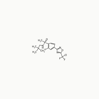 CC(C)(C)CNP(C)(=O)c1ccc(-c2noc(C(F)(F)Cl)n2)cc1F